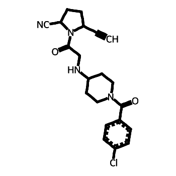 C#CC1CCC(C#N)N1C(=O)CNC1CCN(C(=O)c2ccc(Cl)cc2)CC1